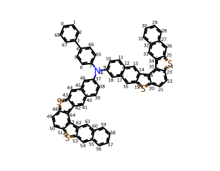 c1ccc(-c2ccc(N(c3ccc4cc5c(cc4c3)sc3ccc4sc6cc7ccccc7cc6c4c35)c3ccc4cc5c(cc4c3)sc3ccc4sc6cc7ccccc7cc6c4c35)cc2)cc1